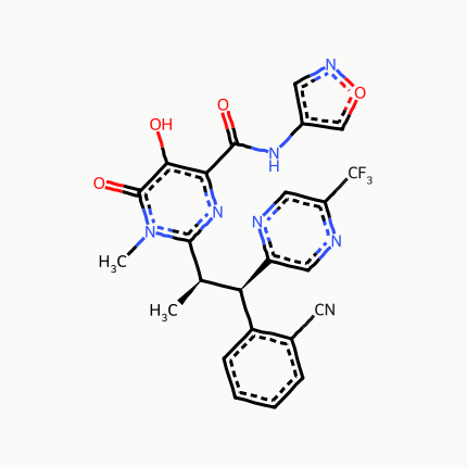 C[C@@H](c1nc(C(=O)Nc2cnoc2)c(O)c(=O)n1C)[C@@H](c1cnc(C(F)(F)F)cn1)c1ccccc1C#N